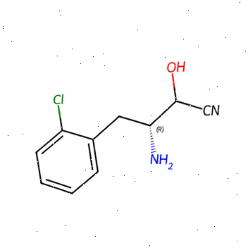 N#CC(O)[C@H](N)Cc1ccccc1Cl